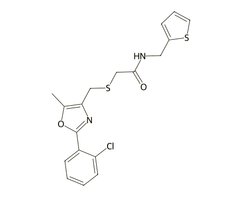 Cc1oc(-c2ccccc2Cl)nc1CSCC(=O)NCc1cccs1